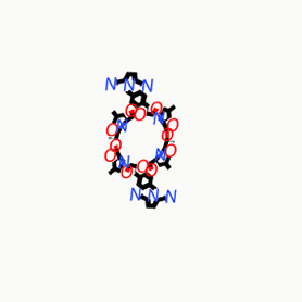 CC(C)C[C@H]1C(=O)O[C@H](Cc2ccc(Cn3c(C#N)ccc3C#N)cc2)C(=O)N(C)[C@@H](CC(C)C)C(=O)O[C@H](C)C(=O)N(C)[C@@H](CC(C)C)C(=O)O[C@H](Cc2ccc(Cn3c(C#N)ccc3C#N)cc2)C(=O)N(C)[C@@H](CC(C)C)C(=O)O[C@H](C)C(=O)N1C